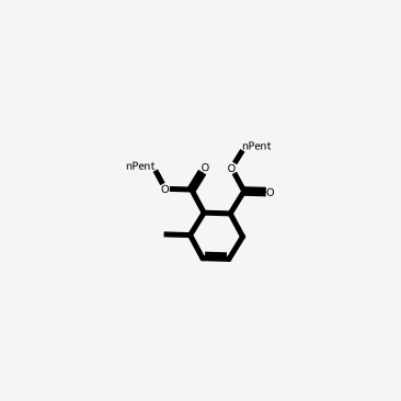 CCCCCOC(=O)C1CC=CC(C)C1C(=O)OCCCCC